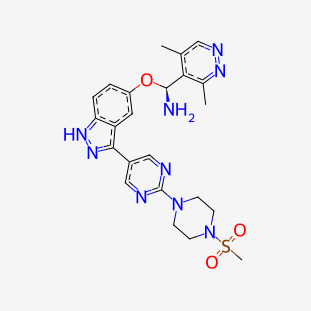 Cc1cnnc(C)c1[C@@H](N)Oc1ccc2[nH]nc(-c3cnc(N4CCN(S(C)(=O)=O)CC4)nc3)c2c1